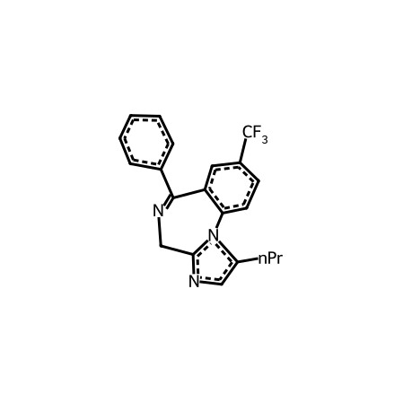 CCCc1cnc2n1-c1ccc(C(F)(F)F)cc1C(c1ccccc1)=NC2